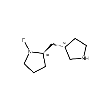 FN1CCC[C@@H]1C[C@@H]1CCNC1